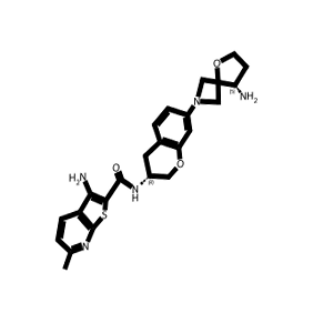 Cc1ccc2c(N)c(C(=O)N[C@H]3COc4cc(N5CC6(C5)OCC[C@@H]6N)ccc4C3)sc2n1